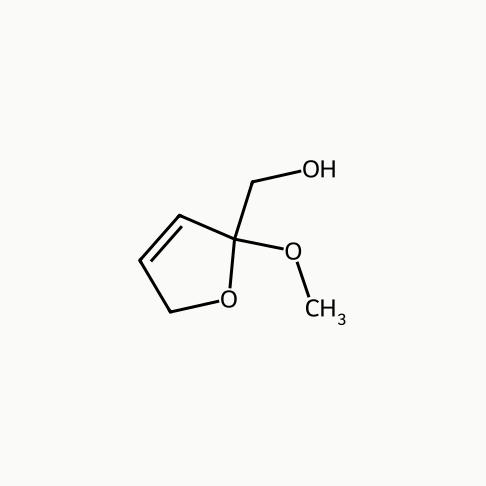 COC1(CO)C=CCO1